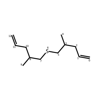 C=CCC(C)CSCC(C)CC=C